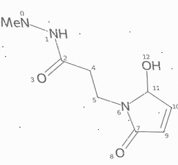 CNNC(=O)CCN1C(=O)C=CC1O